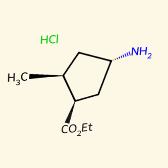 CCOC(=O)[C@@H]1C[C@@H](N)C[C@@H]1C.Cl